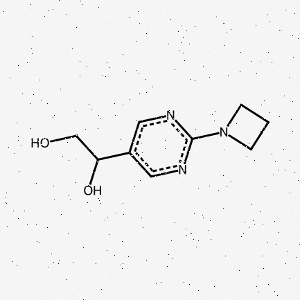 OCC(O)c1cnc(N2CCC2)nc1